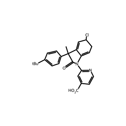 CC(C)(C)c1ccc(C2(C)C(=O)N(c3cc(C(=O)O)ccn3)C3=CCC(Cl)C=C32)cc1